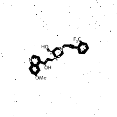 COc1ccc2nccc([C@@H](O)CC[C@@H]3CCN(CC#Cc4ccccc4C(F)(F)F)C[C@@H]3CO)c2c1